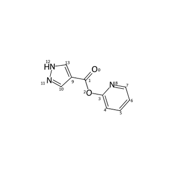 O=C(Oc1ccccn1)c1cn[nH]c1